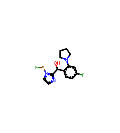 OC(c1ccc(F)cc1N1CCCC1)c1nccn1SF